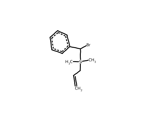 C=CC[Si](C)(C)C(Br)c1ccccc1